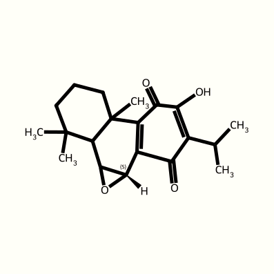 CC(C)C1=C(O)C(=O)C2=C(C1=O)[C@@H]1OC1C1C(C)(C)CCCC21C